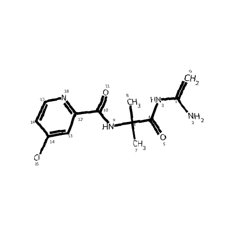 C=C(N)NC(=O)C(C)(C)NC(=O)c1cc(Cl)ccn1